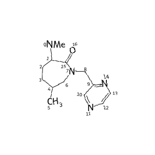 CNC1CCC(C)CN(Cc2cnccn2)C1=O